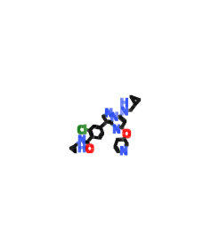 O=C(NC1CC1)c1ccc(-c2cnn3c(NCC4CC4)cc(Oc4cccnc4)nc23)cc1Cl